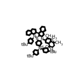 Cc1cc2c(cc1N1c3cc(N(c4ccc(C(C)(C)C)cc4)c4ccc(C(C)(C)C)cc4)ccc3B3c4c1cc1ccccc1c4-c1ccc4ccccc4c1N3c1ccc(C(C)(C)C)cc1)C(C)(C)CCC2(C)C